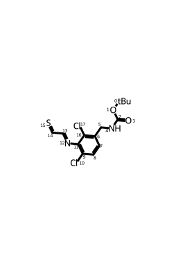 CC(C)(C)OC(=O)NCc1ccc(Cl)c(N=CC=S)c1Cl